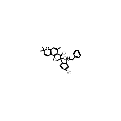 CCc1ccc(C2(O)COc3c4c(cc(C)c3C2=O)OC(C)(C)C=C4)c(OCc2ccccc2)c1